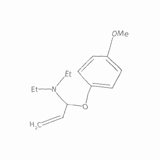 C=CC(Oc1ccc(OC)cc1)N(CC)CC